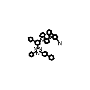 N#Cc1ccc2c3ccccc3n(-c3cccc4c3c3ccccc3n4-c3cc(-c4ccccc4)cc(-c4nc(-c5ccccc5)nc(-c5ccc(-c6ccccc6)cc5)n4)c3)c2c1